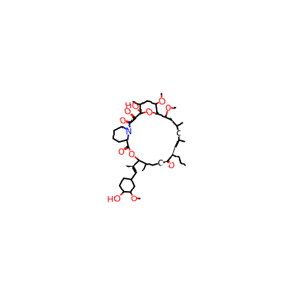 CCCC1/C=C(\C)CC(C)CC(OC)C2OC(O)(C(=O)C(=O)N3CCCCC3C(=O)OC(C(C)=CC3CCC(O)C(OC)C3)C(C)CCC1=O)C(C)CC2OC